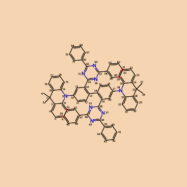 CC1(C)c2ccccc2N(c2ccc(-c3ccc(N4c5ccccc5C(C)(C)c5ccccc54)cc3-c3nc(-c4ccccc4)nc(-c4ccccc4)n3)c(-c3nc(-c4ccccc4)nc(-c4ccccc4)n3)c2)c2ccccc21